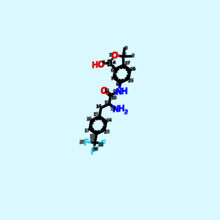 CC1(C)OB(O)c2cc(NC(=O)C(N)Cc3ccc(C(F)(F)F)cc3)ccc21